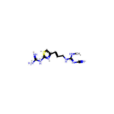 CN/C(=N\C#N)NCC=Cc1csc(NC(=N)N)n1